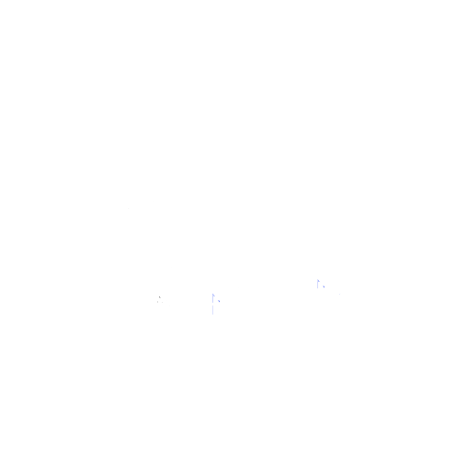 CC(=O)c1cc(-c2ccc(C)cc2)ccc1Nc1ccc(N)cc1C